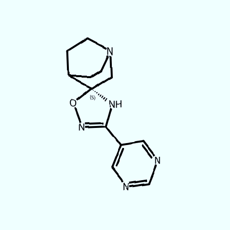 c1ncc(C2=NO[C@@]3(CN4CCC3CC4)N2)cn1